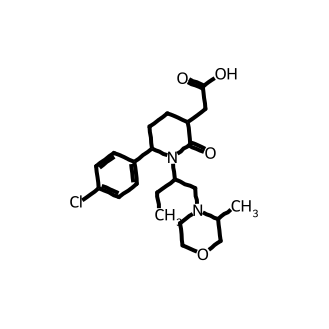 CCC(CN1CCOCC1C)N1C(=O)C(CC(=O)O)CCC1c1ccc(Cl)cc1